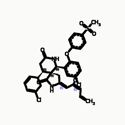 C=C/C=C(Cl)\C=C1/C[C@@]2(C(=O)N1)[C@H](c1cc(Cl)ccc1Oc1ccc(S(C)(=O)=O)cc1)NC(=O)C[C@H]2C1C=CC=C(Cl)C1